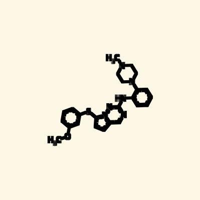 COc1cccc(Sc2ccc3cnc(Nc4ccccc4N4CCN(C)CC4)nn23)c1